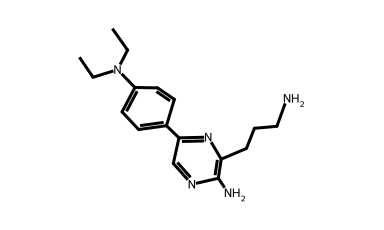 CCN(CC)c1ccc(-c2cnc(N)c(CCCN)n2)cc1